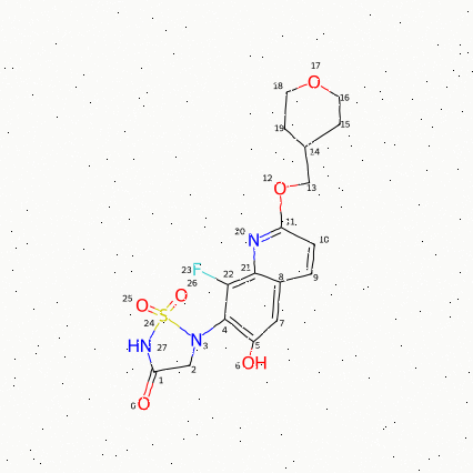 O=C1CN(c2c(O)cc3ccc(OCC4CCOCC4)nc3c2F)S(=O)(=O)N1